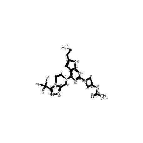 CCCc1cc2c(N3CCn4c(nnc4C(F)(F)F)C3)nc(N3CC(OC(C)=O)C3)nc2s1